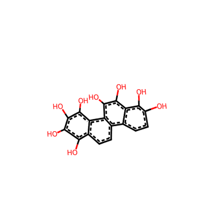 Oc1ccc2c(c1O)c(O)c(O)c1c2ccc2c(O)c(O)c(O)c(O)c21